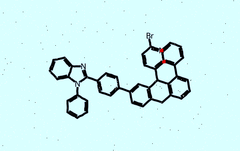 Brc1ccc(C2c3cc(-c4ccc(-c5nc6ccccc6n5-c5ccccc5)cc4)ccc3Cc3cccc(-c4ccccc4)c32)cn1